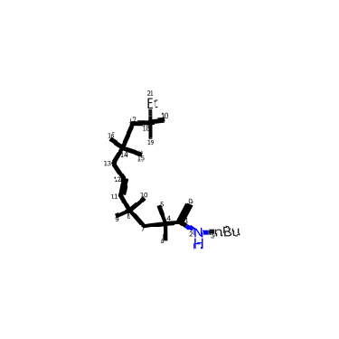 C=C(NCCCC)C(C)(C)CC(C)(C)/C=C/CC(C)(C)CC(C)(C)CC